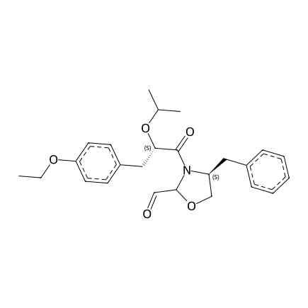 CCOc1ccc(C[C@H](OC(C)C)C(=O)N2C(C=O)OC[C@@H]2Cc2ccccc2)cc1